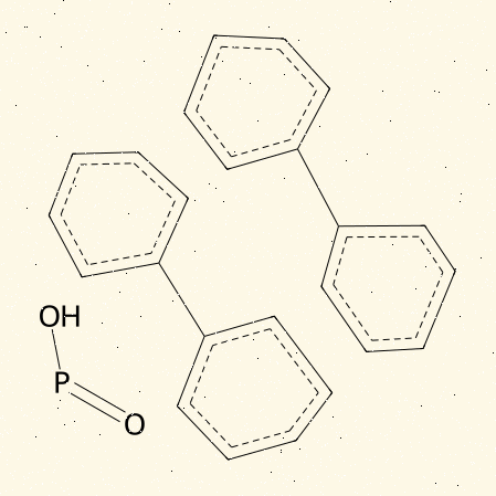 O=PO.c1ccc(-c2ccccc2)cc1.c1ccc(-c2ccccc2)cc1